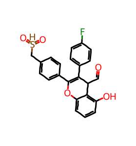 O=CC1C(c2ccc(F)cc2)=C(c2ccc(C[SH](=O)=O)cc2)Oc2cccc(O)c21